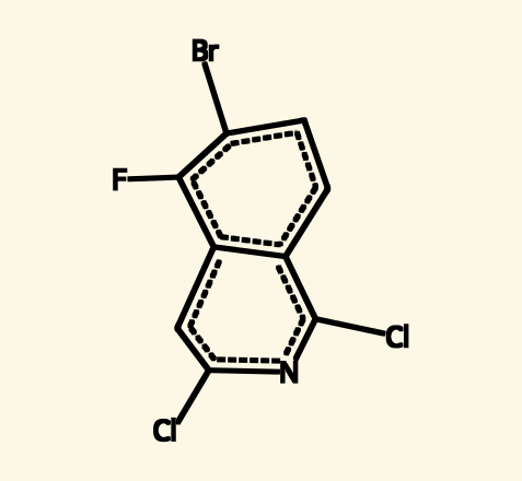 Fc1c(Br)ccc2c(Cl)nc(Cl)cc12